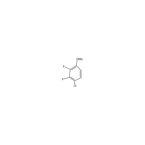 COc1ccc(Cl)c(F)c1F